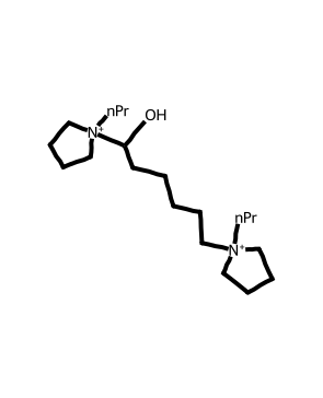 CCC[N+]1(CCCCCC(O)[N+]2(CCC)CCCC2)CCCC1